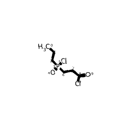 CCCP(=O)(Cl)CCC(=O)Cl